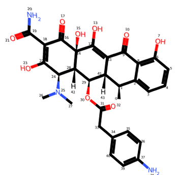 C[C@@H]1c2cccc(O)c2C(=O)C2=C(O)[C@@]3(O)C(=O)C(C(N)=O)=C(O)[C@H](N(C)C)[C@H]3[C@H](OC(=O)Cc3ccc(N)cc3)[C@H]21